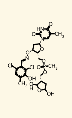 Cc1cc(Cl)c(/C=N/O[C@@H]2C[C@H](n3cc(C)c(=O)[nH]c3=O)O[C@@H]2COP(C)(=O)OC[C@@H]2CC(O)OC2O)c(Cl)c1O